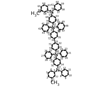 Cc1cccc(N(c2ccccc2)c2ccc([N+](c3ccccc3)(c3ccccc3)c3ccc(-c4ccc([N+](c5ccccc5)(c5ccccc5)c5ccc(N(c6ccccc6)c6cccc(C)c6)cc5)cc4)cc3)cc2)c1